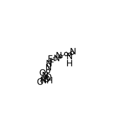 O=C1CCC(N2C(=O)c3ccc(N4CCN(CC(F)(F)C5CCN(c6ccc(-c7ccc8c(c7)[nH]c7ccncc78)cn6)CC5)CC4)cc3C2=O)C(=O)N1